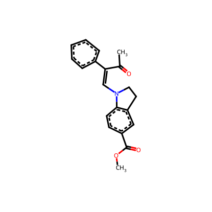 COC(=O)c1ccc2c(c1)CCN2/C=C(\C(C)=O)c1ccccc1